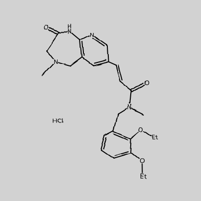 CCOc1cccc(CN(C)C(=O)C=Cc2cnc3c(c2)CN(C)CC(=O)N3)c1OCC.Cl